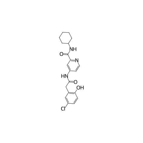 O=C(Cc1cc(Cl)ccc1O)Nc1ccnc(C(=O)NC2CCCCC2)c1